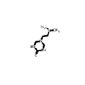 CN(C)CCN1CNC(=S)NC1